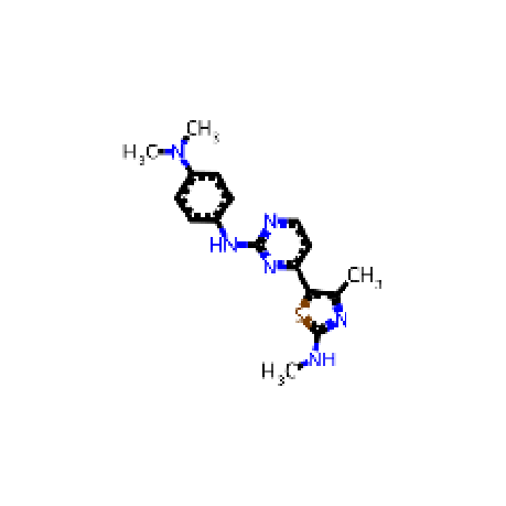 CNc1nc(C)c(-c2ccnc(Nc3ccc(N(C)C)cc3)n2)s1